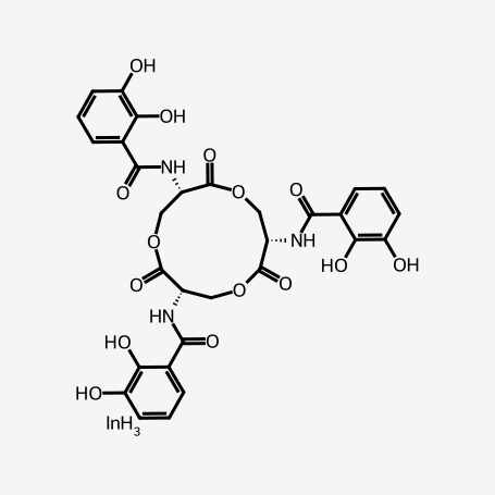 O=C(N[C@H]1COC(=O)[C@@H](NC(=O)c2cccc(O)c2O)COC(=O)[C@@H](NC(=O)c2cccc(O)c2O)COC1=O)c1cccc(O)c1O.[InH3]